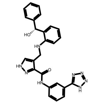 O=C(Nc1cccc(-c2nnn[nH]2)c1)c1n[nH]cc1CNc1ccccc1[C@H](O)c1ccccc1